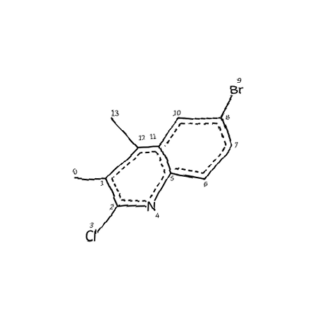 Cc1c(Cl)nc2ccc(Br)cc2c1C